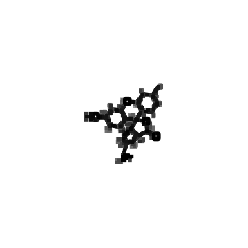 Cc1ccc2c(c1)Oc1cc(O)ccc1C21OC(=O)c2cc(C(C)C)ccc21